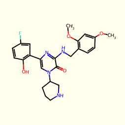 COc1ccc(CNc2nc(-c3cc(F)ccc3O)cn(C3CCCNC3)c2=O)c(OC)c1